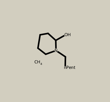 C.CCCCCCN1CCCCC1O